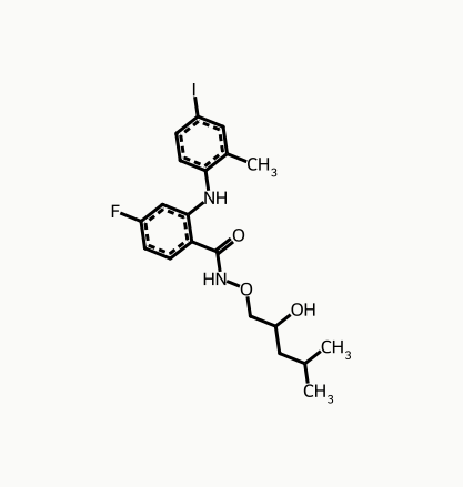 Cc1cc(I)ccc1Nc1cc(F)ccc1C(=O)NOCC(O)CC(C)C